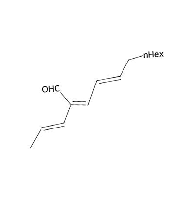 C/C=C/C(C=O)=C/C=C/CCCCCCC